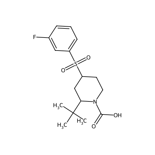 CC(C)(C)C1CC(S(=O)(=O)c2cccc(F)c2)CCN1C(=O)O